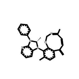 C=C1/C=C\C(C)=N/COc2c1ccc(C)c2N1c2cccnc2N(c2ccccc2)[C@@H]1C